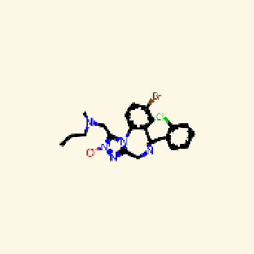 CCCN(C)Cc1n2c(n[n+]1[O-])CN=C(c1ccccc1Cl)c1cc(Br)ccc1-2